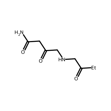 CCC(=O)CNCC(=O)CC(N)=O